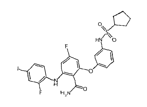 NC(=O)c1c(Nc2ccc(I)cc2F)cc(F)cc1Oc1cccc(NS(=O)(=O)C2CCCC2)c1